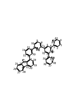 c1ccc(-c2cc(-c3cccc(-c4cccc(-c5cccc6c5sc5ccccc56)c4)n3)cc(-c3ccccn3)n2)nc1